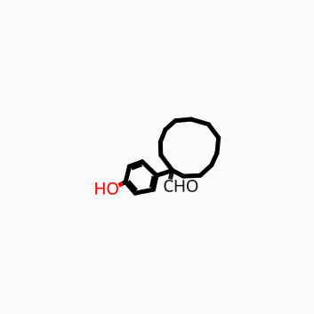 O=CC1(c2ccc(O)cc2)CCCCCCCCCCC1